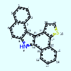 c1ccc2c(c1)ccc1[nH]c3c4ccccc4c4sccc4c3c12